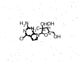 C[C@]1(O)C(n2ccc3c(Cl)nc(N)nc32)O[C@H](CO)[C@H]1O